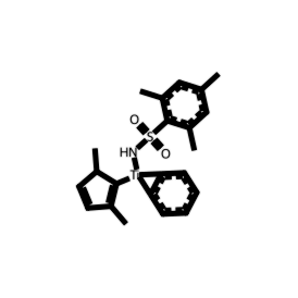 CC1=[C]([Ti]2([NH]S(=O)(=O)c3c(C)cc(C)cc3C)[c]3cccc[c]32)C(C)C=C1